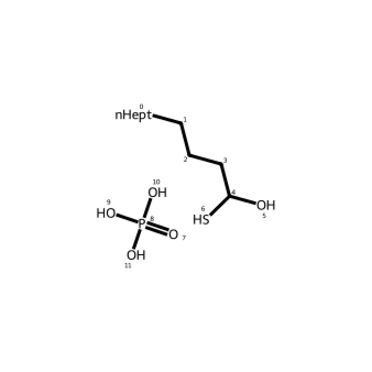 CCCCCCCCCCC(O)S.O=P(O)(O)O